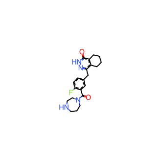 O=C(c1cc(Cc2n[nH]c(=O)c3c2CCCC3)ccc1F)N1CCCNCC1